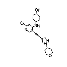 OC1CCC(Nc2cc(Cl)ncc2C#Cc2cnn(C3CCOCC3)c2)CC1